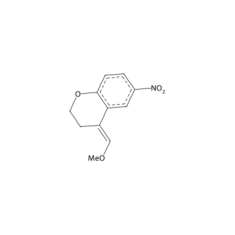 COC=C1CCOc2ccc([N+](=O)[O-])cc21